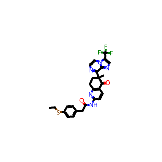 CCSc1ccc(CC(=O)Nc2ccc3c(n2)CCC(C)(c2nccn4c(C(F)(F)F)cnc24)C3=O)cc1